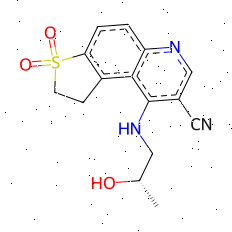 C[C@H](O)CNc1c(C#N)cnc2ccc3c(c12)CCS3(=O)=O